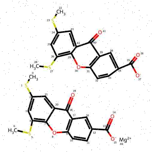 CSc1cc(SC)c2oc3ccc(C(=O)[O-])cc3c(=O)c2c1.CSc1cc(SC)c2oc3ccc(C(=O)[O-])cc3c(=O)c2c1.[Mg+2]